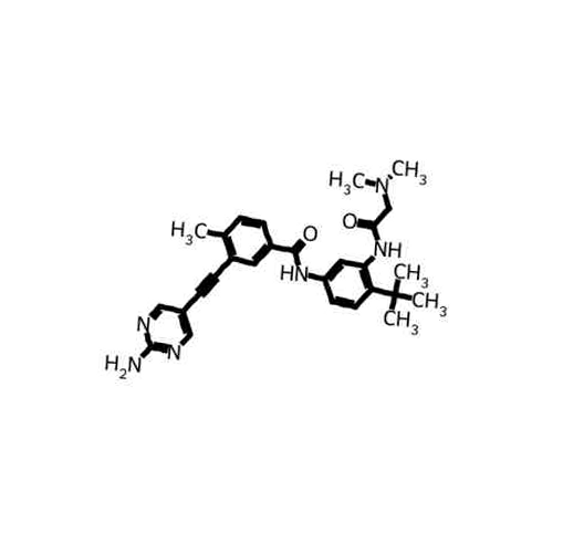 Cc1ccc(C(=O)Nc2ccc(C(C)(C)C)c(NC(=O)CN(C)C)c2)cc1C#Cc1cnc(N)nc1